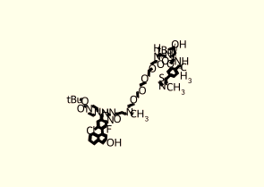 Cc1ncsc1-c1ccc([C@H](C)NC(=O)[C@@H]2C[C@@H](O)CN2C(=O)[C@@H](NC(=O)COCCOCCOCCOCCN(C)CCC(=O)Nc2nc(N3CCN(C(=O)OC(C)(C)C)CC3)c3cc(Cl)c(-c4cc(O)cc5ccccc45)c(F)c3n2)C(C)(C)C)cc1